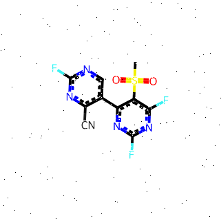 CS(=O)(=O)c1c(F)nc(F)nc1-c1[c]nc(F)nc1C#N